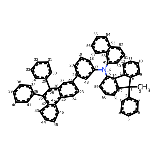 CC1(c2ccccc2)c2ccccc2-c2c(N(c3cccc(-c4ccc5c(c4)c(-c4ccccc4)c(-c4ccccc4)c4ccccc45)c3)c3cccc4ccccc34)cccc21